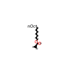 CCCCCCCCCCCCCCCOC(=O)C1CC1